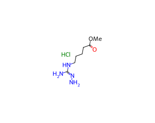 COC(=O)CCCCNC(N)=NN.Cl